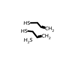 C=CCS.C=CCS.S